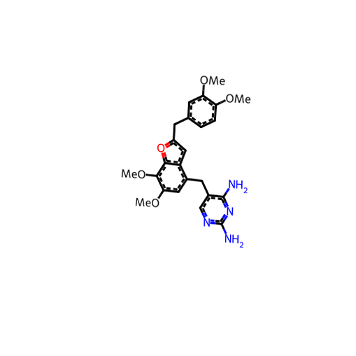 COc1ccc(Cc2cc3c(Cc4cnc(N)nc4N)cc(OC)c(OC)c3o2)cc1OC